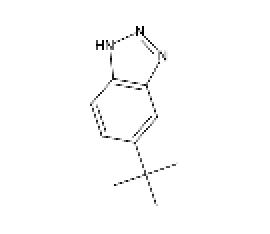 CC(C)(C)c1ccc2[nH]nnc2c1